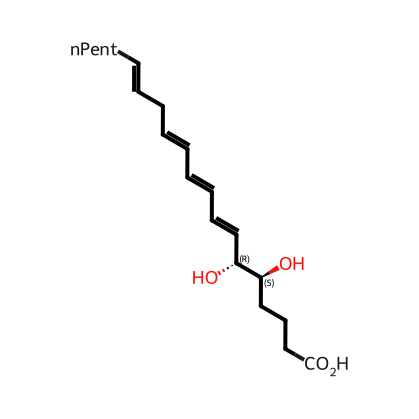 CCCCCC=CCC=CC=CC=C[C@@H](O)[C@@H](O)CCCC(=O)O